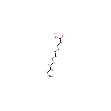 BOC(=O)CCCCCCCCCCCCCCCCCCC